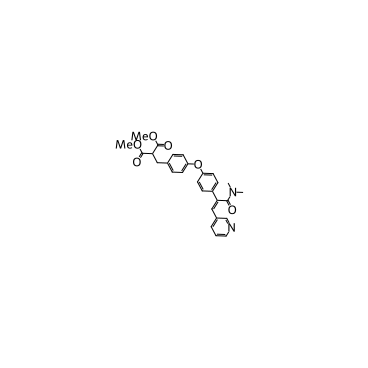 COC(=O)C(Cc1ccc(Oc2ccc(C(=Cc3cccnc3)C(=O)N(C)C)cc2)cc1)C(=O)OC